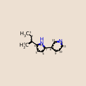 C=C(CC)c1ccc(-c2cccnc2)[nH]1